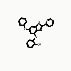 N#Cc1ccccc1Oc1cc(Oc2ccccn2)cc2[nH]c(-c3ccccn3)nc12